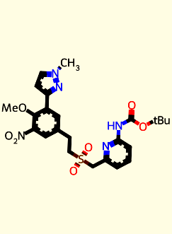 COc1c(-c2ccn(C)n2)cc(CCS(=O)(=O)Cc2cccc(NC(=O)OC(C)(C)C)n2)cc1[N+](=O)[O-]